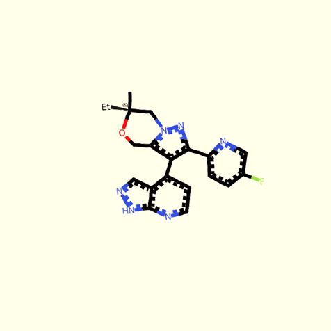 CC[C@@]1(C)Cn2nc(-c3ccc(F)cn3)c(-c3ccnc4[nH]ncc34)c2CO1